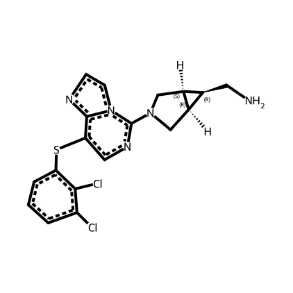 NC[C@H]1[C@H]2CN(c3ncc(Sc4cccc(Cl)c4Cl)c4nccn34)C[C@@H]12